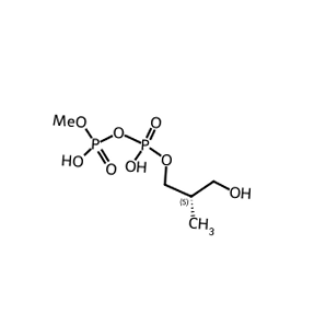 COP(=O)(O)OP(=O)(O)OC[C@@H](C)CO